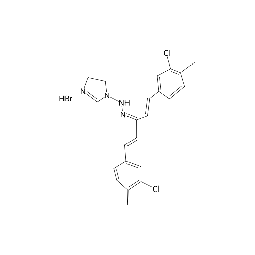 Br.Cc1ccc(C=CC(C=Cc2ccc(C)c(Cl)c2)=NNN2C=NCC2)cc1Cl